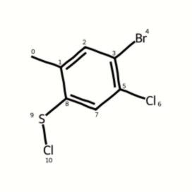 Cc1cc(Br)c(Cl)cc1SCl